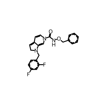 O=C(NOCc1ccccc1)N1C=CC2=CCN(Cc3ccc(F)cc3F)C2=C1